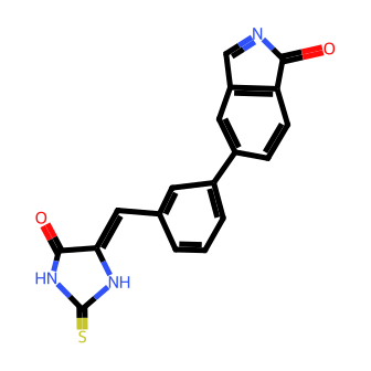 O=C1NC(=S)N/C1=C\c1cccc(-c2ccc3c(c2)C=NC3=O)c1